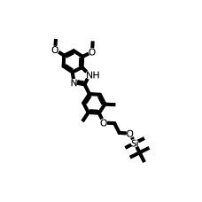 COc1cc(OC)c2[nH]c(-c3cc(C)c(OCCO[Si](C)(C)C(C)(C)C)c(C)c3)nc2c1